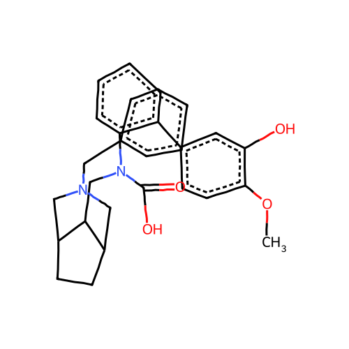 COc1ccc(-c2ccccc2N(CC2C3CCC2CN(Cc2ccccc2)C3)C(=O)O)cc1O